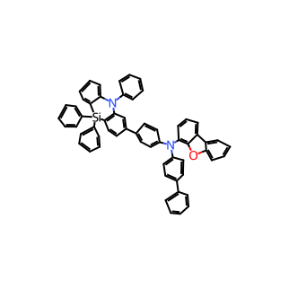 c1ccc(-c2ccc(N(c3ccc(-c4ccc5c(c4)N(c4ccccc4)c4ccccc4[Si]5(c4ccccc4)c4ccccc4)cc3)c3cccc4c3oc3ccccc34)cc2)cc1